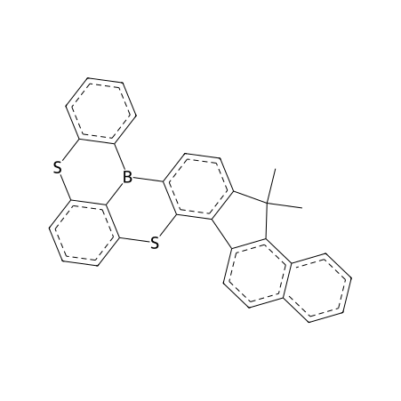 CC1(C)c2ccc3c(c2-c2ccc4ccccc4c21)Sc1cccc2c1B3c1ccccc1S2